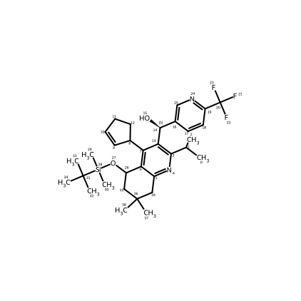 CC(C)c1nc2c(c(C3C=CCC3)c1[C@@H](O)c1ccc(C(F)(F)F)nc1)C(O[Si](C)(C)C(C)(C)C)CC(C)(C)C2